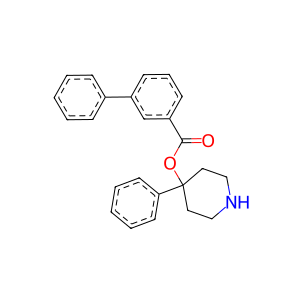 O=C(OC1(c2ccccc2)CCNCC1)c1cccc(-c2ccccc2)c1